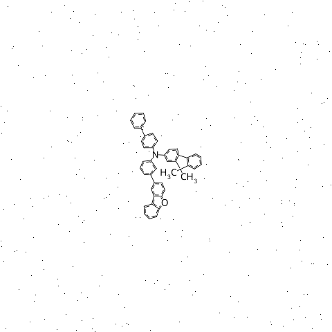 CC1(C)c2ccccc2-c2ccc(N(c3ccc(-c4ccccc4)cc3)c3cccc(-c4ccc5oc6ccccc6c5c4)c3)cc21